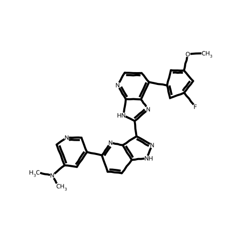 COc1cc(F)cc(-c2ccnc3[nH]c(-c4n[nH]c5ccc(-c6cncc(N(C)C)c6)nc45)nc23)c1